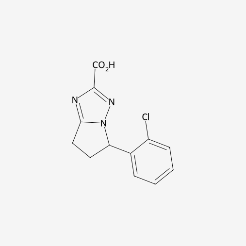 O=C(O)c1nc2n(n1)C(c1ccccc1Cl)CC2